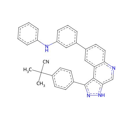 CC(C)(C#N)c1ccc(-c2n[nH]c3cnc4ccc(-c5cccc(Nc6ccccc6)c5)cc4c23)cc1